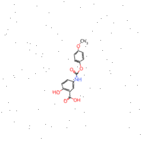 COc1ccc(OC(=O)Nc2ccc(O)c(C(=O)O)c2)cc1